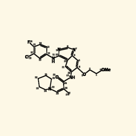 COCCOc1cc2ncnc(Nc3ccc(F)c(Cl)c3)c2cc1NC(=O)/C(F)=C\N1CCCCC1